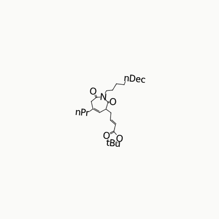 CCCCCCCCCCCCCCN1C(=O)CC(CCC)=CC(C/C=C/C(=O)OC(C)(C)C)C1=O